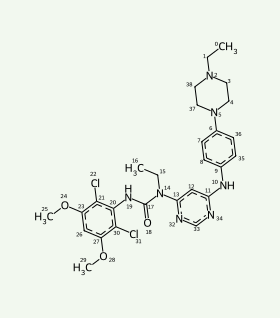 CCN1CCN(c2ccc(Nc3cc(N(CC)C(=O)Nc4c(Cl)c(OC)cc(OC)c4Cl)ncn3)cc2)CC1